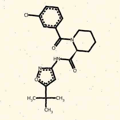 CC(C)(C)c1cc(NC(=O)[C@@H]2CCCCN2C(=O)c2cccc(Cl)c2)no1